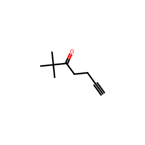 C#CCCC(=O)C(C)(C)C